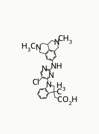 CN1Cc2cc(Nc3ncc(Cl)c(N4CC(C)(CC(=O)O)c5ccccc54)n3)cc3c2C(C1)CN(C)C3